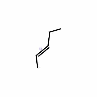 [CH2]/C=C/CC